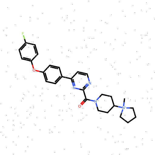 C[N+]1(C2CCN(C(=O)c3nccc(-c4ccc(Oc5ccc(F)cc5)cc4)n3)CC2)CCCC1